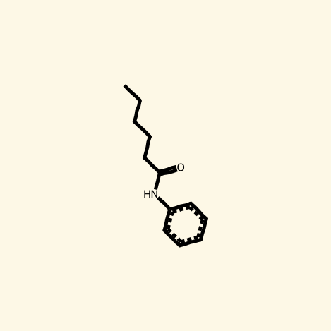 CCCCCC(=O)Nc1ccccc1